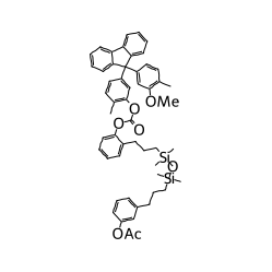 COc1cc(C2(c3ccc(C)c(OC(=O)Oc4ccccc4CCC[Si](C)(C)O[Si](C)(C)CCCc4cccc(OC(C)=O)c4)c3)c3ccccc3-c3ccccc32)ccc1C